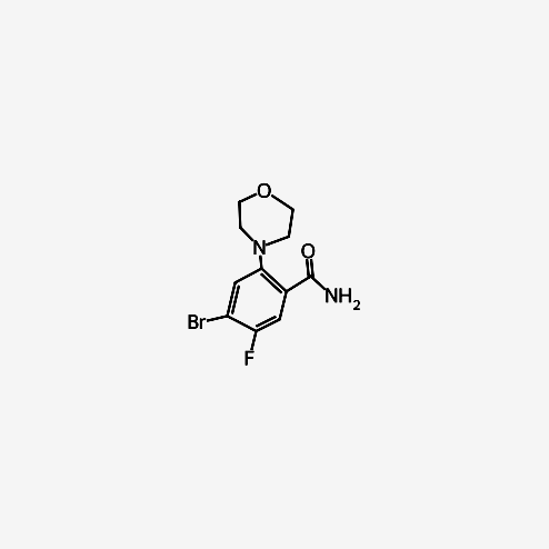 NC(=O)c1cc(F)c(Br)cc1N1CCOCC1